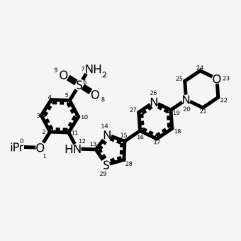 CC(C)Oc1ccc(S(N)(=O)=O)cc1Nc1nc(-c2ccc(N3CCOCC3)nc2)cs1